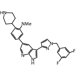 CNc1cc(-c2cnc3[nH]cc(-c4ccn(Cc5cc(F)cc(F)c5)n4)c3c2)ccc1C1CCNCC1